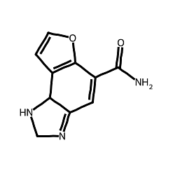 NC(=O)C1=CC2=NCNC2c2ccoc21